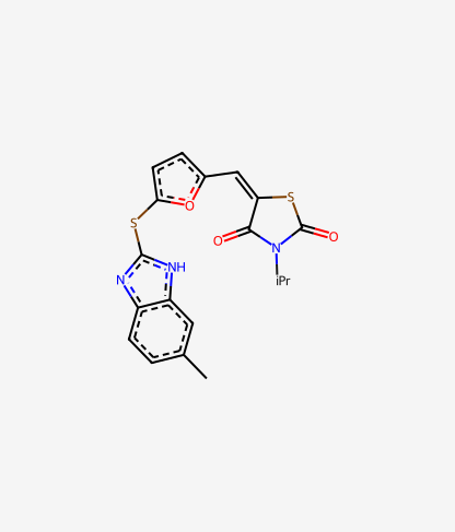 Cc1ccc2nc(Sc3ccc(C=C4SC(=O)N(C(C)C)C4=O)o3)[nH]c2c1